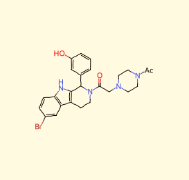 CC(=O)N1CCN(CC(=O)N2CCc3c([nH]c4ccc(Br)cc34)C2c2cccc(O)c2)CC1